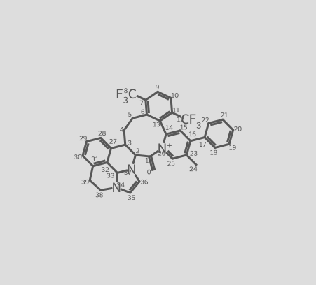 C=C1C2C(CCc3c(C(F)(F)F)ccc(C(F)(F)F)c3-c3cc(-c4ccccc4)c(C)c[n+]31)c1cccc3c1C1N(C=CN21)CC3